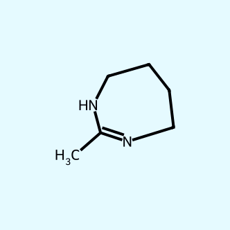 CC1=NCCCCN1